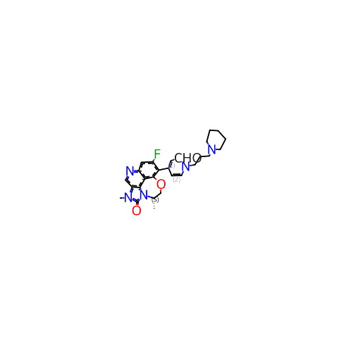 C[C@H]1COc2c(C(/C=C\N(C)CCCN3CCCCC3)=C/C=O)c(F)cc3ncc4c(c23)n1c(=O)n4C